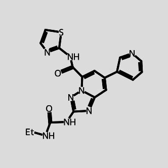 CCNC(=O)Nc1nc2cc(-c3cccnc3)cc(C(=O)Nc3nccs3)n2n1